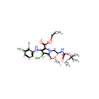 CCOC(=O)c1c(Nc2cccc(F)c2F)c(Br)c(COC)n1CCNC(=O)OC(C)(C)C